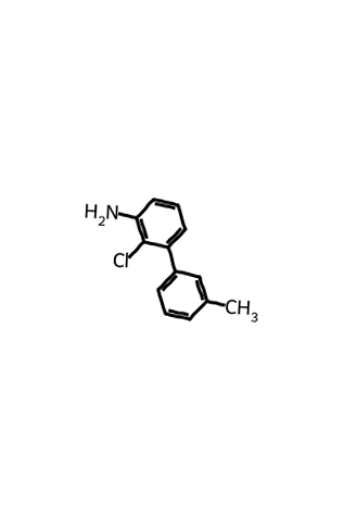 Cc1cccc(-c2cccc(N)c2Cl)c1